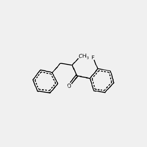 CC(Cc1ccccc1)C(=O)c1ccccc1F